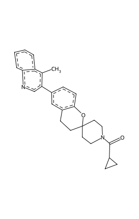 Cc1c(-c2ccc3c(c2)CCC2(CCN(C(=O)C4CC4)CC2)O3)cnc2ccccc12